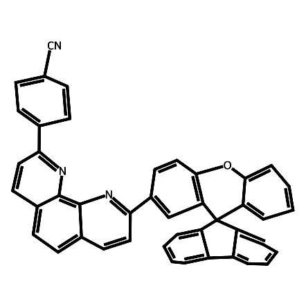 N#Cc1ccc(-c2ccc3ccc4ccc(-c5ccc6c(c5)C5(c7ccccc7O6)c6ccccc6-c6ccccc65)nc4c3n2)cc1